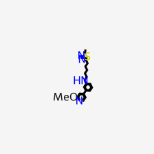 COc1cc(-c2cccc(NCCCCCc3nnc(C)s3)c2)ccn1